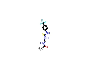 CC(=O)NCCNC(=S)Nc1ccc(C(F)(F)F)cc1